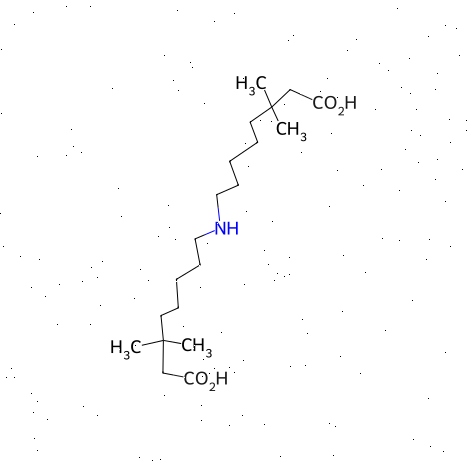 CC(C)(CCCCCNCCCCCC(C)(C)CC(=O)O)CC(=O)O